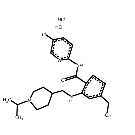 CC(C)N1CCC(CNc2cc(CO)ccc2C(=O)Nc2ccc(Cl)cn2)CC1.Cl.Cl